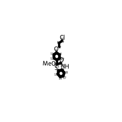 COC1(c2ccc(OCCCCl)cc2)Sc2ccccc2NC1=O